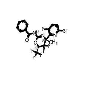 C[C@]1(c2nc(Br)ccc2F)N=C(NC(=O)c2ccccc2)O[C@H](C(F)(F)F)C1(F)F